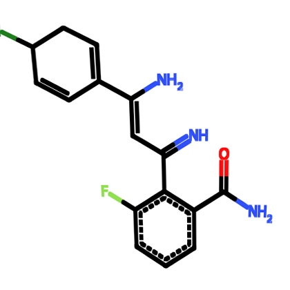 N=C(/C=C(\N)C1=CCC(Cl)C=C1)c1c(F)cccc1C(N)=O